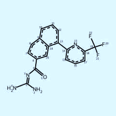 NC(N)=NC(=O)c1ccc2cccc(-c3cccc(C(F)(F)F)n3)c2c1